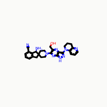 N#Cc1cccc2c1[C@@H](N)C1(CCN(c3nc4[nH]nc(N5CCCc6ncccc65)c4nc3CO)CC1)C2